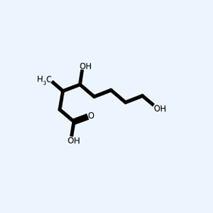 CC(CC(=O)O)C(O)CCCCO